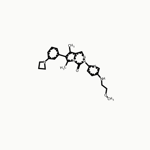 COCCNc1ccc(-n2ncc3c(C)c(-c4cccc(N5CCC5)c4)c(C)n3c2=O)nc1